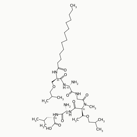 CCCCCCCCCCCCCC(=O)N[C@H](COCC(C)C)C(=O)N[C@H](N)C(=O)NCC(=O)N(C)[C@H](C(=O)N[C@@H](N)C(=O)N[C@@H](CC(C)C)C(=O)O)C(C)OCC(C)C